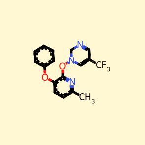 Cc1ccc(Oc2ccccc2)c(ON2C=C(C(F)(F)F)C=NC2)n1